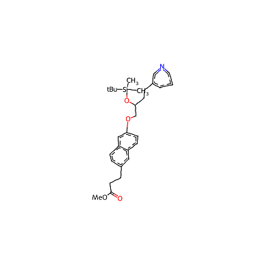 COC(=O)CCc1ccc2cc(OCC(CCc3cccnc3)O[Si](C)(C)C(C)(C)C)ccc2c1